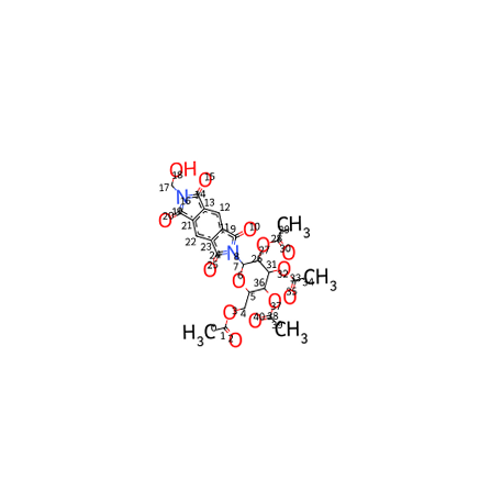 CC(=O)OCC1OC(n2c(=O)c3cc4c(=O)n(CO)c(=O)c4cc3c2=O)C(OC(C)=O)C(OC(C)=O)C1OC(C)=O